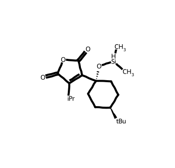 CC(C)C1=C([C@]2(O[SiH](C)C)CC[C@H](C(C)(C)C)CC2)C(=O)OC1=O